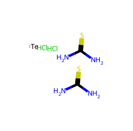 Cl.Cl.NC(N)=S.NC(N)=S.[Te]